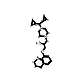 OC(COc1cccc2c1SCCC2)CN1CCN(C(C2CC2)C2CC2)CC1